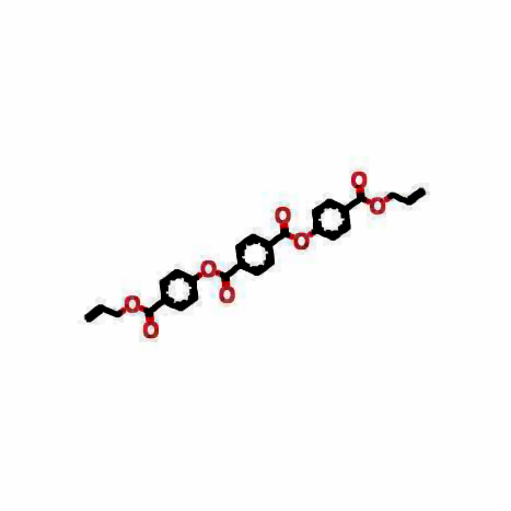 C=CCOC(=O)c1ccc(OC(=O)c2ccc(C(=O)Oc3ccc(C(=O)OCC=C)cc3)cc2)cc1